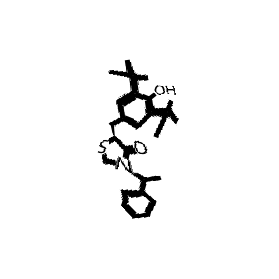 CC(c1ccccc1)N1CS[C@@H](Cc2cc(C(C)(C)C)c(O)c(C(C)(C)C)c2)C1=O